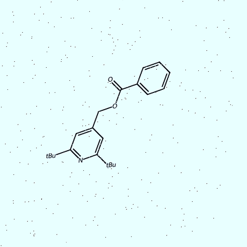 CC(C)(C)c1cc(COC(=O)c2ccccc2)cc(C(C)(C)C)n1